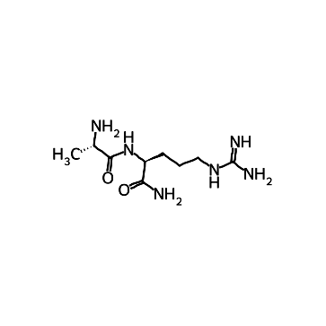 C[C@H](N)C(=O)N[C@@H](CCCNC(=N)N)C(N)=O